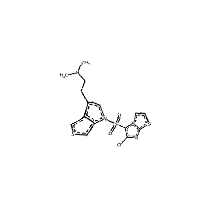 CN(C)CCc1cn(S(=O)(=O)c2c(Cl)nc3sccn23)c2cscc12